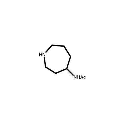 CC(=O)NC1CCCNCC1